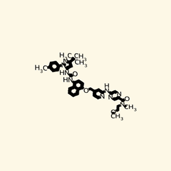 COCCN(C)C(=O)c1cnc(Nc2cc(COc3ccc(NC(=O)Nc4cc(C(C)(C)C)nn4-c4ccc(C)cc4)c4ccccc34)ccn2)cn1